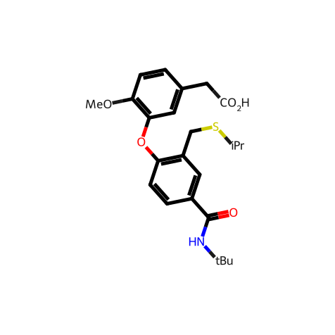 COc1ccc(CC(=O)O)cc1Oc1ccc(C(=O)NC(C)(C)C)cc1CSC(C)C